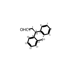 O=CC[C@@H](c1ccccc1)c1ccccc1I